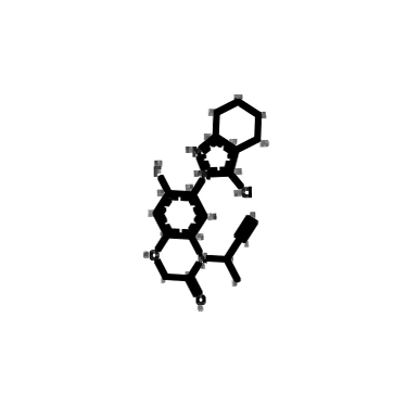 C#CC(C)N1C(=O)COc2cc(F)c(-n3nc4c(c3Cl)CCCC4)cc21